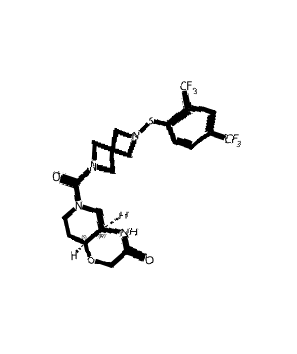 O=C1CO[C@H]2CCN(C(=O)N3CC4(CN(Sc5ccc(C(F)(F)F)cc5C(F)(F)F)C4)C3)C[C@H]2N1